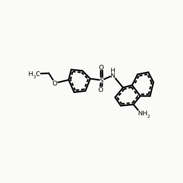 CCOc1ccc(S(=O)(=O)Nc2ccc(N)c3ccccc23)cc1